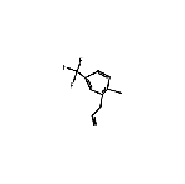 C=CCc1cc(C(F)(F)F)ccc1C